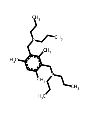 CCCP(CCC)Cc1c(C)cc(C)c(CP(CCC)CCC)c1C